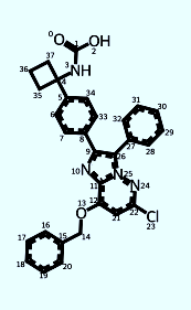 O=C(O)NC1(c2ccc(-c3nc4c(OCc5ccccc5)cc(Cl)nn4c3-c3ccccc3)cc2)CCC1